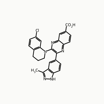 Cc1n[nH]c2ccc(-c3nc4ccc(C(=O)O)cc4nc3N3CCCc4ccc(Cl)cc43)cc12